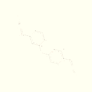 O=C=Nc1ccc(Oc2cccc(N=C=O)c2)cc1